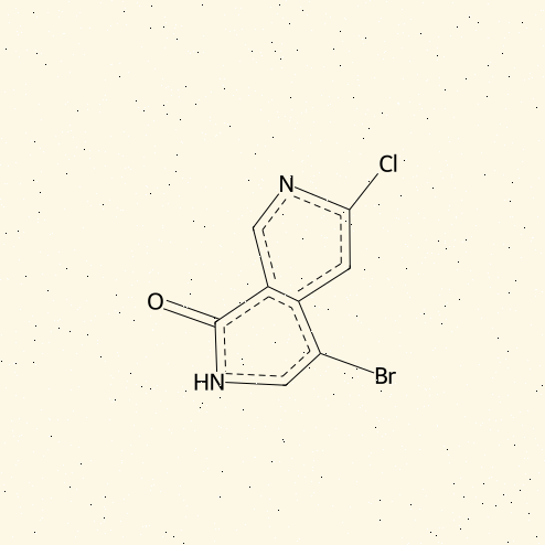 O=c1[nH]cc(Br)c2cc(Cl)ncc12